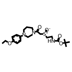 CCOc1ccc(N2CCCN(C(=O)C[S+]([O-])CCNC(=O)OC(C)(C)C)CC2)cc1